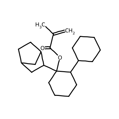 C=C(C)C(=O)OC1(C2CC3CCC2C3)CCCCC1C1CCCCC1